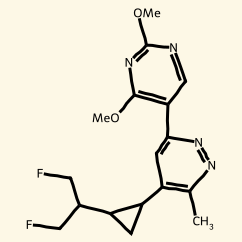 COc1ncc(-c2cc(C3CC3C(CF)CF)c(C)nn2)c(OC)n1